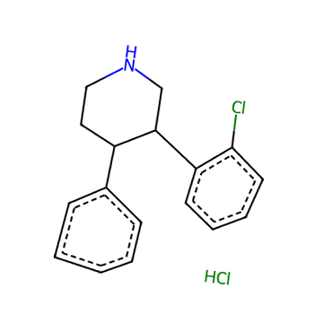 Cl.Clc1ccccc1C1CNCCC1c1ccccc1